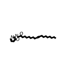 CCCCCCCCC#CCCCCCCCC(=O)c1nc2ncccc2o1